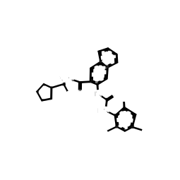 Cc1cc(C)c(NC(=O)Nc2cc3ccccc3cc2C(=O)N[C@](C)(C(=O)O)C2CCCC2)c(C)c1